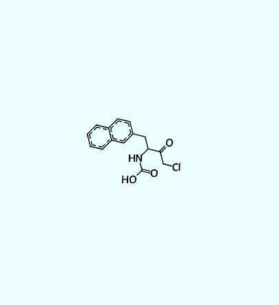 O=C(O)NC(Cc1ccc2ccccc2c1)C(=O)CCl